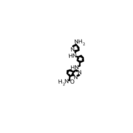 NC(=O)c1cccc2c(NCc3cccc(Nc4ccc(N)cn4)c3)ncnc12